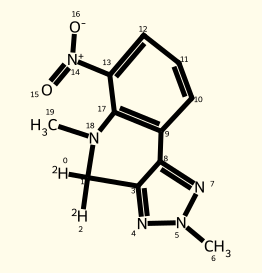 [2H]C1([2H])c2nn(C)nc2-c2cccc([N+](=O)[O-])c2N1C